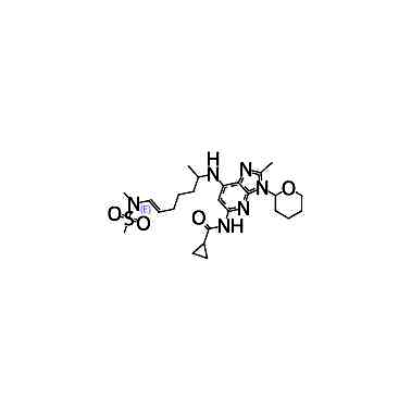 Cc1nc2c(NC(C)CCC/C=C/N(C)S(C)(=O)=O)cc(NC(=O)C3CC3)nc2n1C1CCCCO1